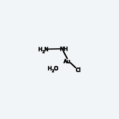 N[NH][Au][Cl].O